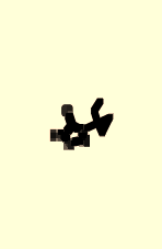 CCC1(n2nn[nH]c2=O)CC1